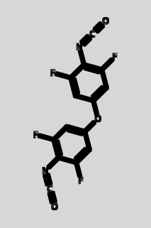 O=C=Nc1c(F)cc(Oc2cc(F)c(N=C=O)c(F)c2)cc1F